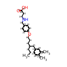 CCCC(CCCOc1ccc(CNCCC(=O)O)cc1)Cc1ccc(C)c(C)c1